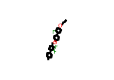 C=CCCOc1ccc(-c2ccc(OCc3ccc(-c4ccc(C)cc4)c(F)c3F)cc2)c(F)c1